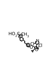 Cn1c(C(=O)O)cc2ccc(/C=C/C34CCC(OCc5c(-c6c(Cl)cncc6Cl)noc5C5CC5)(CC3)CC4)cc21